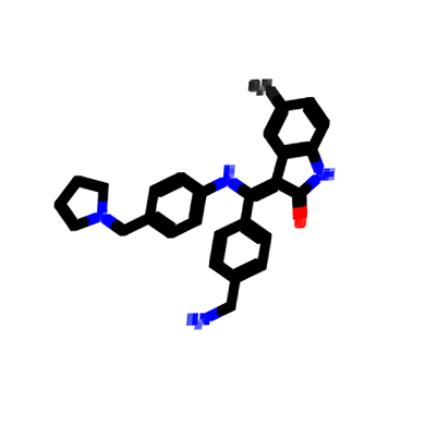 NCc1ccc(C(Nc2ccc(CN3CCCC3)cc2)=C2C(=O)Nc3ccc([N+](=O)[O-])cc32)cc1